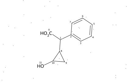 O=C(O)C(c1ccccc1)C1CC1O